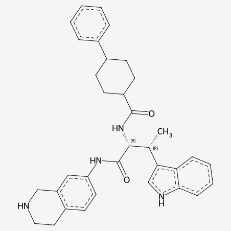 C[C@H](c1c[nH]c2ccccc12)[C@@H](NC(=O)C1CCC(c2ccccc2)CC1)C(=O)Nc1ccc2c(c1)CNCC2